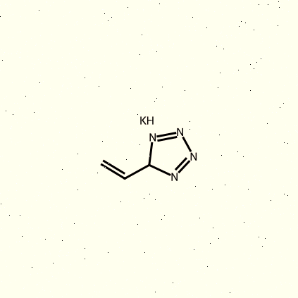 C=CC1N=NN=N1.[KH]